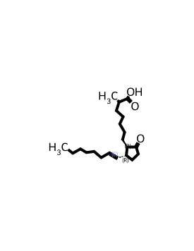 CCCCCC/C=C/[C@H]1CCC(=O)[C@@H]1CCCCCC(C)C(=O)O